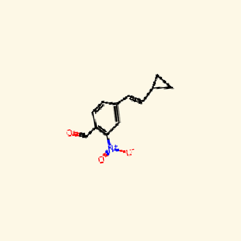 O=Cc1ccc(/C=C/C2CC2)cc1[N+](=O)[O-]